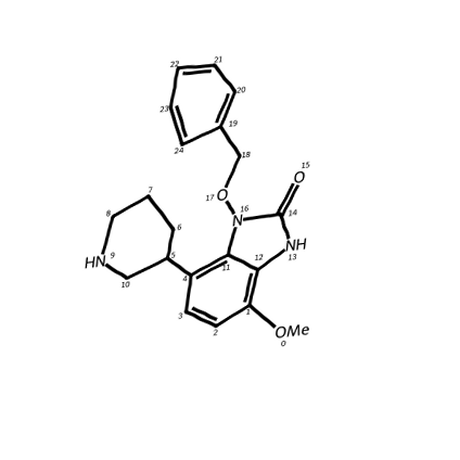 COc1ccc(C2CCCNC2)c2c1[nH]c(=O)n2OCc1ccccc1